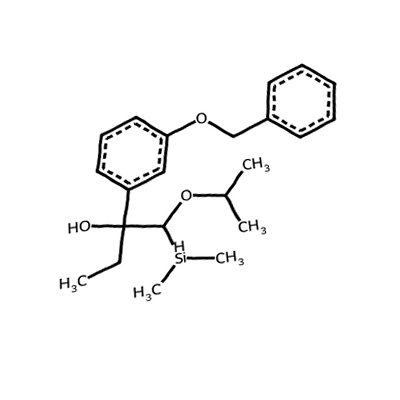 CCC(O)(c1cccc(OCc2ccccc2)c1)C(OC(C)C)[SiH](C)C